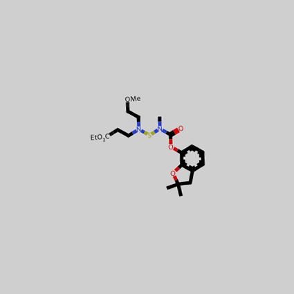 CCOC(=O)CCN(CCOC)SN(C)C(=O)Oc1cccc2c1OC(C)(C)C2